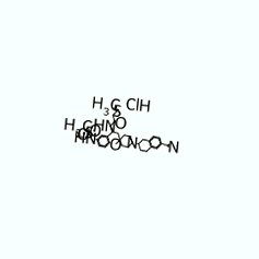 CSCC(=O)N[C@H]1CC2(CCN([C@@H]3CCc4cc(C#N)ccc4C3)CC2)Oc2ccc(NS(C)(=O)=O)cc21.Cl